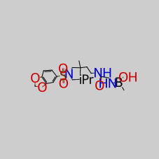 CB(O)NCC(=O)NCCC(C)(C)CN(CC(C)C)S(=O)(=O)c1ccc2c(c1)OCO2